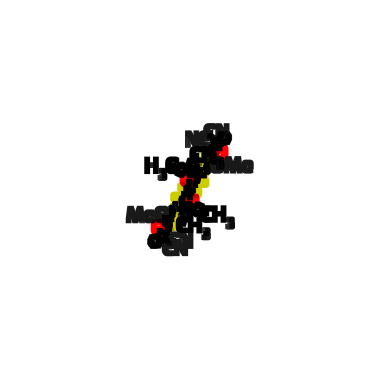 COc1cc(/C=C2\C(=O)c3ccccc3C2=C(C#N)C#N)sc1-c1cc2sc3c(c2s1)C(c1ccc(C)cc1)(c1ccc(C)cc1)Oc1c-3sc2c3c(sc12)-c1sc2cc(-c4sc(/C=C5\C(=O)c6ccccc6C5=C(C#N)C#N)cc4OC)sc2c1C(c1ccc(C)cc1)(c1ccc(C)cc1)O3